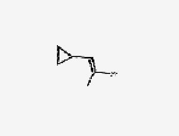 CC(=CC1CC1)C(C)C